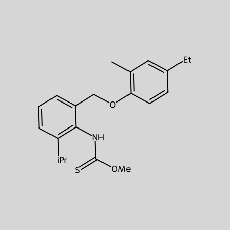 CCc1ccc(OCc2cccc(C(C)C)c2NC(=S)OC)c(C)c1